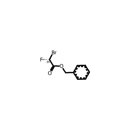 O=C(OCc1ccccc1)[C@H](F)Br